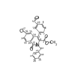 COC(=O)c1c(-c2cccc(C=O)c2)c2cc(Cl)ccc2c(=O)n1Cc1ccccc1